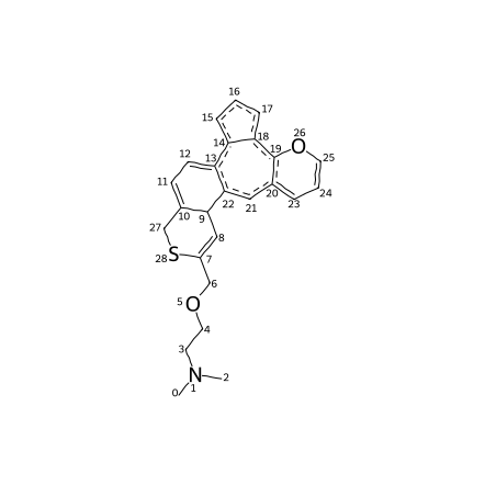 CN(C)CCOCC1=CC2C(=CC=c3c4cccc-4c4c(cc32)=CC=CO4)CS1